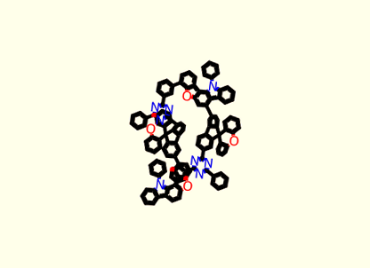 c1ccc(-c2nc(-c3ccccc3)nc(-c3ccc4c(c3)C3(c5ccccc5Oc5ccccc53)c3ccc(-c5cc6oc7c(-c8cccc(-c9nc(-c%10ccccc%10)nc(-c%10cccc%11c%10C%10(c%12ccccc%12Oc%12ccccc%12%10)c%10ccc(-c%12ccc%13oc%14ccc%15c%16ccccc%16n(-c%16ccccc%16)c%15c%14c%13c%12)cc%10-%11)n9)c8)cccc7c6c6c5c5ccccc5n6-c5ccccc5)cc3-4)n2)cc1